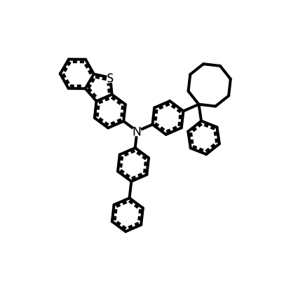 c1ccc(-c2ccc(N(c3ccc(C4(c5ccccc5)CCCCCCC4)cc3)c3ccc4c(c3)sc3ccccc34)cc2)cc1